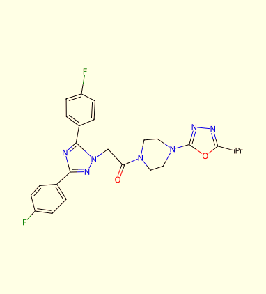 CC(C)c1nnc(N2CCN(C(=O)Cn3nc(-c4ccc(F)cc4)nc3-c3ccc(F)cc3)CC2)o1